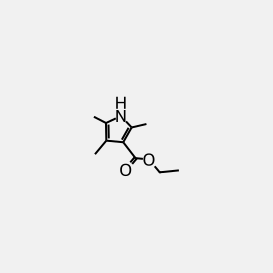 CCOC(=O)c1c(C)[nH]c(C)c1C